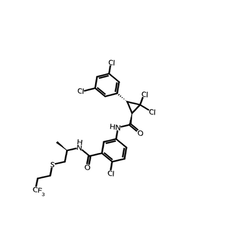 C[C@H](CSCCC(F)(F)F)NC(=O)c1cc(NC(=O)[C@H]2[C@H](c3cc(Cl)cc(Cl)c3)C2(Cl)Cl)ccc1Cl